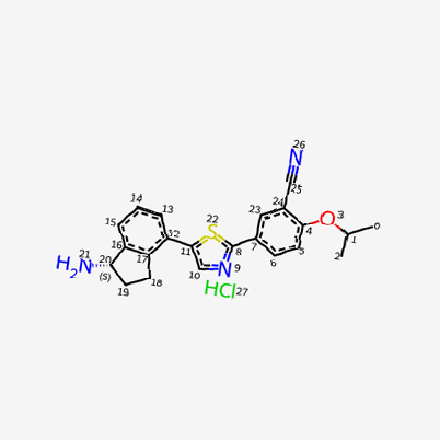 CC(C)Oc1ccc(-c2ncc(-c3cccc4c3CC[C@@H]4N)s2)cc1C#N.Cl